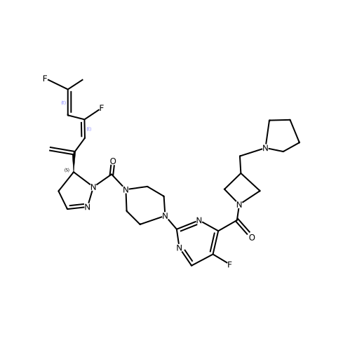 C=C(/C=C(F)\C=C(/C)F)[C@@H]1CC=NN1C(=O)N1CCN(c2ncc(F)c(C(=O)N3CC(CN4CCCC4)C3)n2)CC1